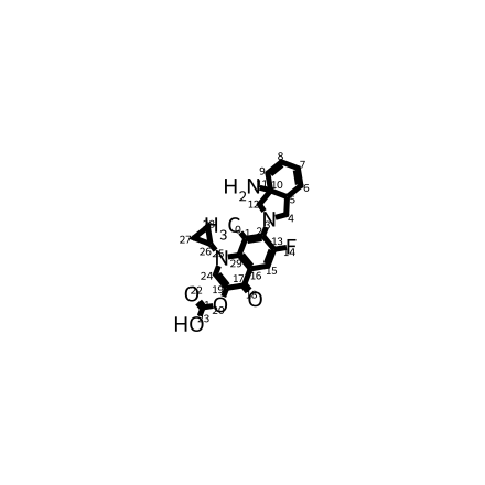 Cc1c(N2CC3C=CC=CC3(N)C2)c(F)cc2c(=O)c(OC(=O)O)cn(C3CC3)c12